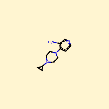 Nc1cnccc1N1CCN(C2CC2)CC1